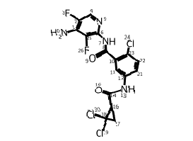 Nc1c(F)cnc(NC(=O)c2cc(NC(=O)C3CC3(Cl)Cl)ccc2Cl)c1F